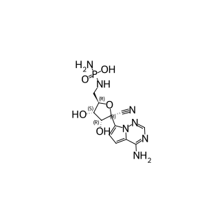 N#C[C@@]1(c2ccc3c(N)ncnn23)O[C@H](CNP(N)(=O)O)[C@@H](O)[C@H]1O